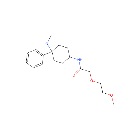 COCCOCC(=O)NC1CCC(c2ccccc2)(N(C)C)CC1